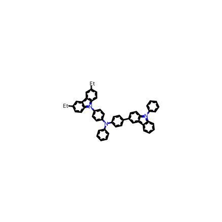 CCc1ccc2c(c1)c1cc(CC)ccc1n2-c1ccc(N(c2ccccc2)c2ccc(-c3ccc4c(c3)c3ccccc3n4-c3ccccc3)cc2)cc1